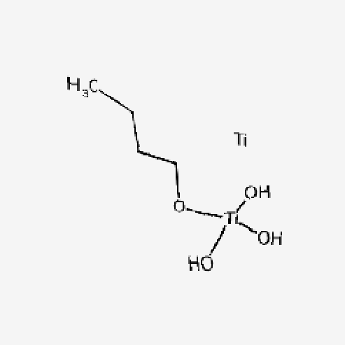 CCCC[O][Ti]([OH])([OH])[OH].[Ti]